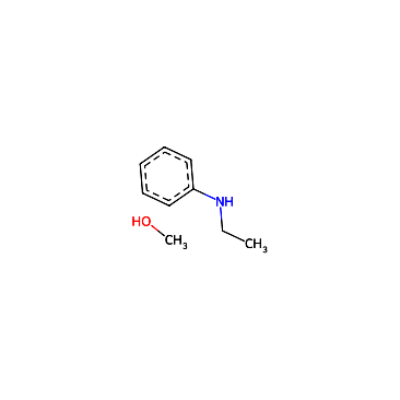 CCNc1ccccc1.CO